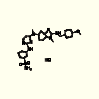 COc1ccc(CNc2nc3cc(N(C)c4ccnc(Nc5cccc(S(N)(=O)=O)c5)n4)ccc3n2C)cc1.Cl